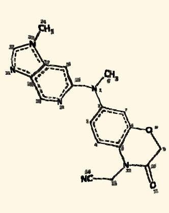 CN(c1ccc2c(c1)OCC(=O)N2CC#N)c1cc2c(cn1)ncn2C